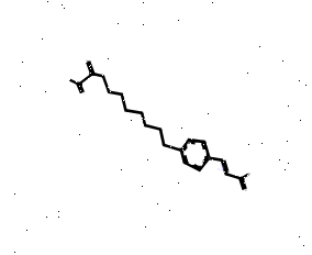 C=C(Cl)/C=C/c1ccc(CCCCCCCCC(=C)C(=C)C)cc1